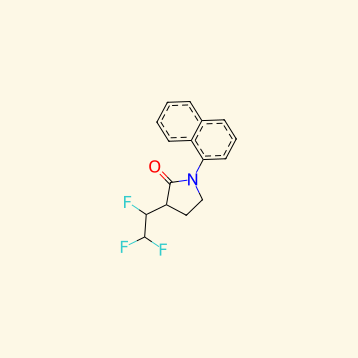 O=C1C(C(F)C(F)F)CCN1c1cccc2ccccc12